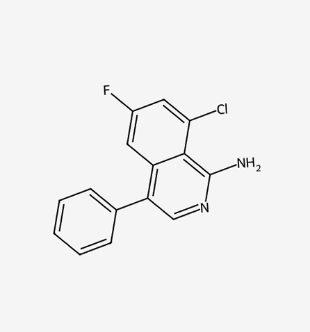 Nc1ncc(-c2ccccc2)c2cc(F)cc(Cl)c12